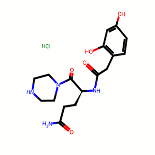 Cl.NC(=O)CC[C@H](NC(=O)Cc1ccc(O)cc1O)C(=O)N1CCNCC1